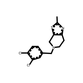 Cc1nc2c(s1)CN(Cc1ccc(Cl)c(Cl)c1)CC2